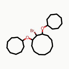 BrC1C(OC2CCCCCCCC2)CCCCCCCCC1OC1CCCCCCC1